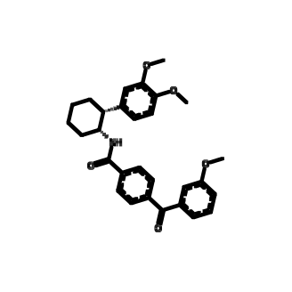 COc1cccc(C(=O)c2ccc(C(=O)N[C@@H]3CCCC[C@@H]3c3ccc(OC)c(OC)c3)cc2)c1